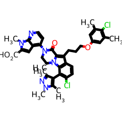 Cc1cc(OCCCc2c3n(c4c(-c5c(C)nn(C)c5C)c(Cl)ccc24)C(C)CN(c2ccnc4c2cc(C(=O)O)n4C)C3=O)cc(C)c1Cl